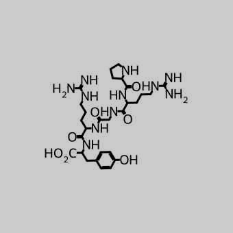 N=C(N)NCCCC(NC(=O)CNC(=O)C(CCCNC(=N)N)NC(=O)C1CCCN1)C(=O)NC(Cc1ccc(O)cc1)C(=O)O